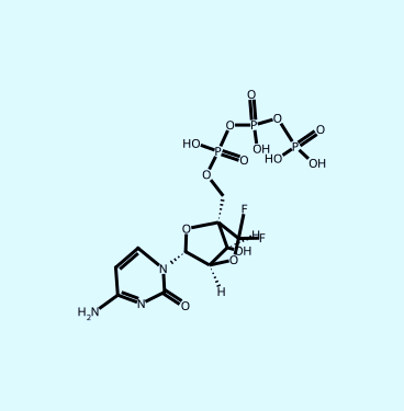 Nc1ccn([C@@H]2O[C@]3(COP(=O)(O)OP(=O)(O)OP(=O)(O)O)[C@@H](O)[C@H]2OC3(F)F)c(=O)n1